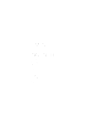 CNCCN(C)Cc1n[nH]c2ccc(OCc3ccccn3)cc12